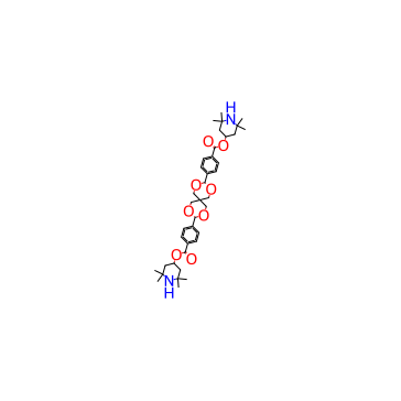 CC1(C)CC(OC(=O)c2ccc(C3OCC4(CO3)COC(c3ccc(C(=O)OC5CC(C)(C)NC(C)(C)C5)cc3)OC4)cc2)CC(C)(C)N1